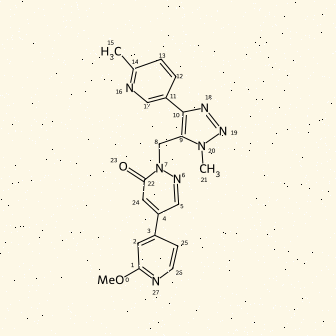 COc1cc(-c2cnn(Cc3c(-c4ccc(C)nc4)nnn3C)c(=O)c2)ccn1